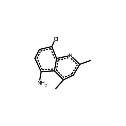 Cc1cc(C)c2c(N)ccc(Cl)c2n1